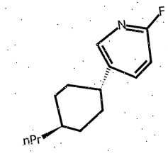 CCC[C@H]1CC[C@H](c2ccc(F)nc2)CC1